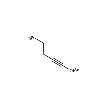 [CH2]OC#CCCCCC